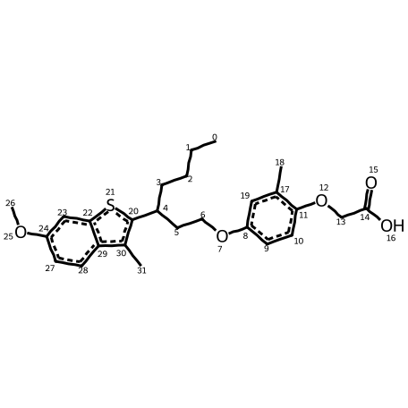 CCCCC(CCOc1ccc(OCC(=O)O)c(C)c1)c1sc2cc(OC)ccc2c1C